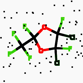 FC(F)(F)C1(F)OC(F)(Cl)C(F)(Cl)O1